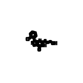 O=c1[nH]c(SCCO)nc2c1cnn2-c1ccccc1Cl